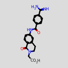 N=C(N)c1ccc(C(=O)Nc2ccc3c(c2)CCN(CC(=O)O)C3=O)cc1